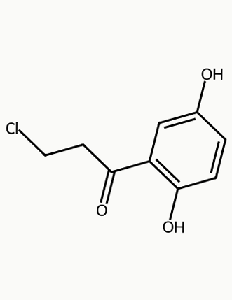 O=C(CCCl)c1cc(O)ccc1O